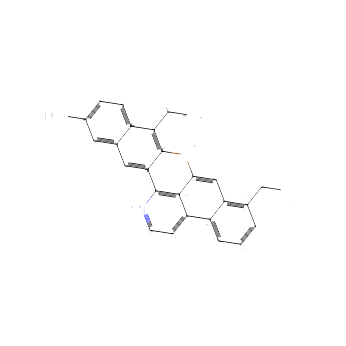 Cc1ccc2c(CC(C)(C)C)c3c(cc2c1)-c1nccc2c1c(cc1c(CC(C)(C)C)cccc12)S3